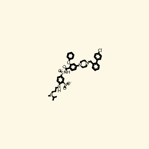 CC(C)N(C)CCCNc1ccc([S+]([O-])NC(=O)c2ccc(N3CCN(Cc4ccccc4-c4ccc(Cl)cc4)CC3)cc2Oc2ccccc2)cc1[N+](=O)[O-]